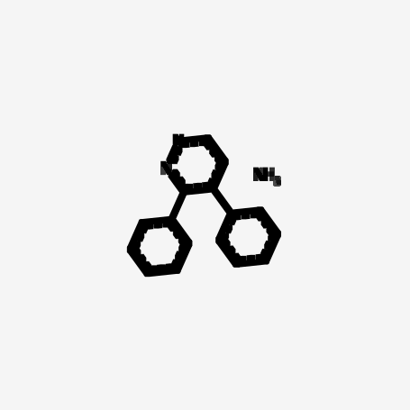 N.c1ccc(-c2ccnnc2-c2ccccc2)cc1